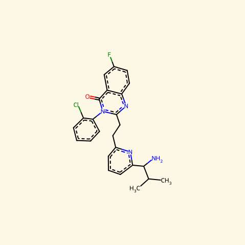 CC(C)C(N)c1cccc(CCc2nc3ccc(F)cc3c(=O)n2-c2ccccc2Cl)n1